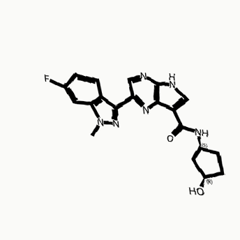 Cn1nc(-c2cnc3[nH]cc(C(=O)N[C@H]4CC[C@@H](O)C4)c3n2)c2ccc(F)cc21